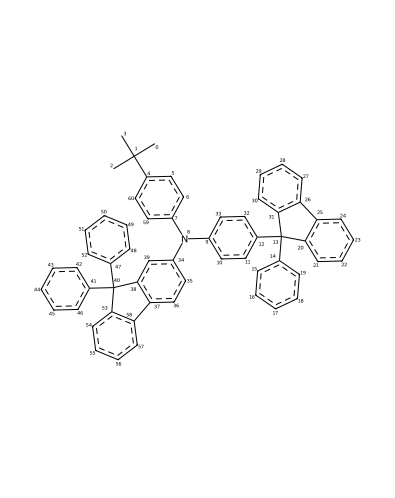 CC(C)(C)c1ccc(N(c2ccc(C3(c4ccccc4)c4ccccc4-c4ccccc43)cc2)c2ccc3c(c2)C(c2ccccc2)(c2ccccc2)c2ccccc2-3)cc1